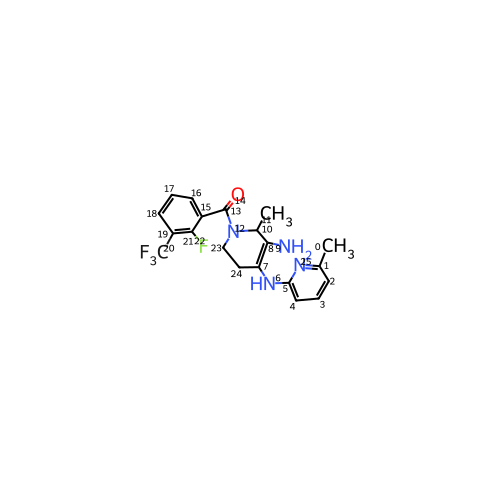 Cc1cccc(NC2=C(N)C(C)N(C(=O)c3cccc(C(F)(F)F)c3F)CC2)n1